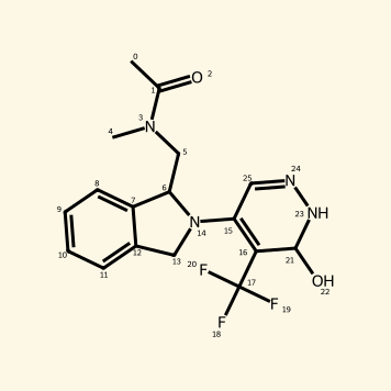 CC(=O)N(C)CC1c2ccccc2CN1C1=C(C(F)(F)F)C(O)NN=C1